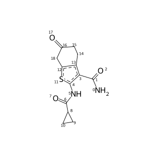 NC(=O)c1c(NC(=O)C2CC2)sc2c1CCC(=O)C2